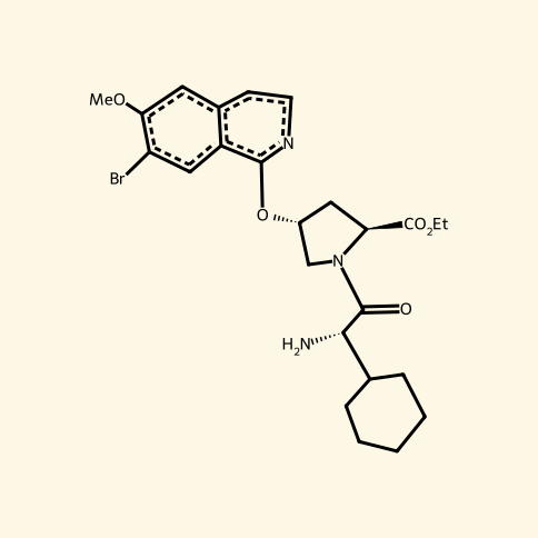 CCOC(=O)[C@@H]1C[C@@H](Oc2nccc3cc(OC)c(Br)cc23)CN1C(=O)[C@@H](N)C1CCCCC1